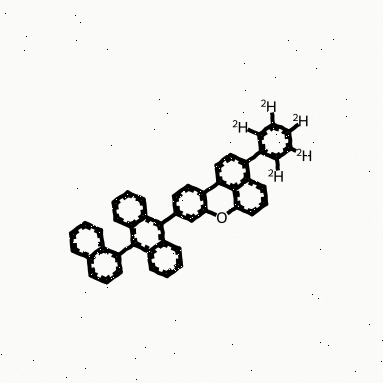 [2H]c1c([2H])c([2H])c(-c2ccc3c4c(cccc24)Oc2cc(-c4c5ccccc5c(-c5cccc6ccccc56)c5ccccc45)ccc2-3)c([2H])c1[2H]